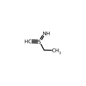 C#S(=N)CC